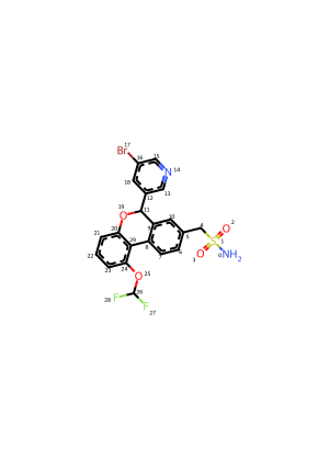 NS(=O)(=O)Cc1ccc2c(c1)C(c1cncc(Br)c1)Oc1cccc(OC(F)F)c1-2